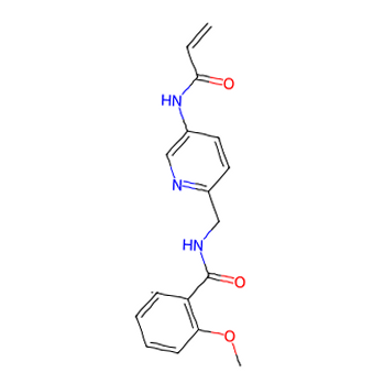 C=CC(=O)Nc1ccc(CNC(=O)c2[c]cccc2OC)nc1